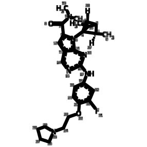 C[C@@H]1C2CC1(n1c(C(=O)N(C)C)cc3cnc(Nc4ccc(OCCN5CCCC5)c(F)c4)nc31)[C@@H]2C